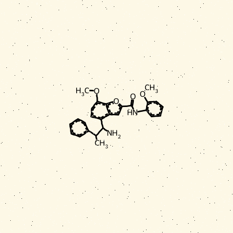 COc1ccccc1NC(=O)c1cc2c(C(N)C(C)c3ccccc3)ccc(OC)c2o1